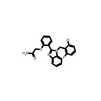 NC(=O)COc1ccccc1-c1nc2ccccc2n1Cc1c(F)cccc1Cl